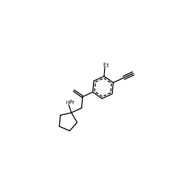 C#Cc1ccc(C(=C)CC2(CCC)CCCC2)cc1CC